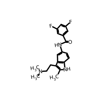 Cc1[nH]c2ccc(NC(=O)c3cc(F)cc(F)c3)cc2c1CCN(C)C